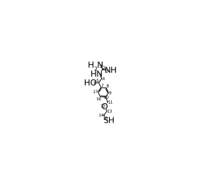 N=C(N)NCC(O)c1ccc(COCCS)cc1